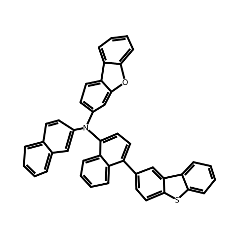 c1ccc2cc(N(c3ccc4c(c3)oc3ccccc34)c3ccc(-c4ccc5sc6ccccc6c5c4)c4ccccc34)ccc2c1